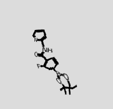 CC1(C)OB(c2ccc(C(=O)Nc3ccccn3)c(F)c2)OC1(C)C